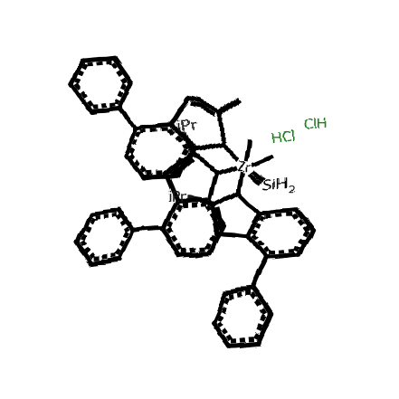 CC1=Cc2c(-c3ccccc3)cccc2[CH]1[Zr]([CH3])([CH3])(=[SiH2])([CH]1C(C(C)C)=Cc2c(-c3ccccc3)cccc21)[CH]1C(C(C)C)=Cc2c(-c3ccccc3)cccc21.Cl.Cl